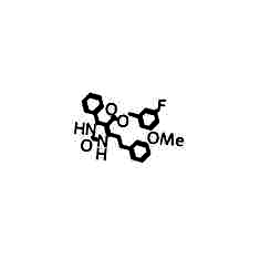 COc1cccc(CCC2=C(C(=O)OCc3cccc(F)c3)C(c3ccccc3)NC(=O)N2)c1